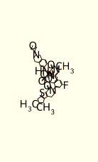 CC(=O)OCc1c(-c2cn(C)c(=O)c(Nc3ccc4c(c3)CCN(C3COC3)C4)n2)cc(F)cc1N1CCc2c(sc3c2CC(C)(C)C3)C1=O